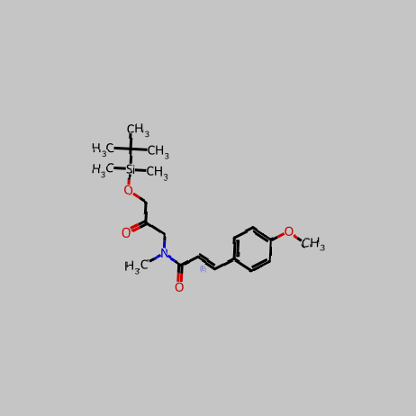 COc1ccc(/C=C/C(=O)N(C)CC(=O)CO[Si](C)(C)C(C)(C)C)cc1